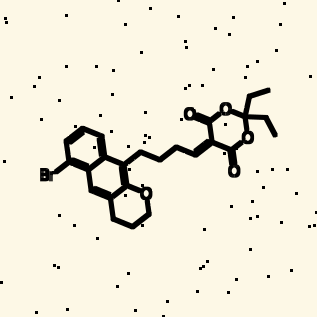 CCC1(CC)OC(=O)C(=CCCCc2c3c(cc4c(Br)cccc24)CCCO3)C(=O)O1